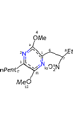 CCCCCc1nc(OC)c(CC(CC)[N+](=O)[O-])nc1OC